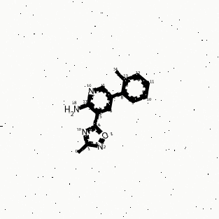 Cc1noc(-c2cc(-c3ccccc3C)cnc2N)n1